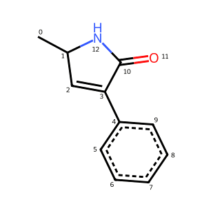 CC1C=C(c2ccccc2)C(=O)N1